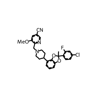 COc1cc(C#N)cnc1CN1CCC(c2cccc3c2OC(C)(c2ccc(Cl)cc2F)O3)CC1